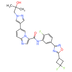 CC(C)(O)Cn1cc(-c2ccc3ncc(C(=O)Nc4cc(-c5noc(C6CC(F)(F)C6)n5)ccc4F)n3c2)cn1